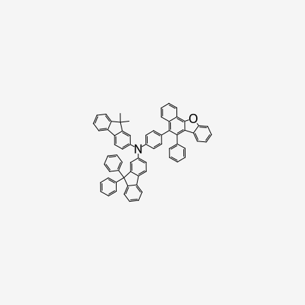 CC1(C)c2ccccc2-c2ccc(N(c3ccc(-c4c(-c5ccccc5)c5c6ccccc6oc5c5ccccc45)cc3)c3ccc4c(c3)C(c3ccccc3)(c3ccccc3)c3ccccc3-4)cc21